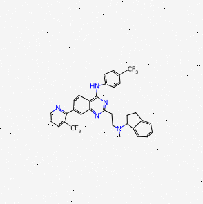 CN(CCc1nc(Nc2ccc(C(F)(F)F)cc2)c2ccc(-c3ncccc3C(F)(F)F)cc2n1)C1CCc2ccccc21